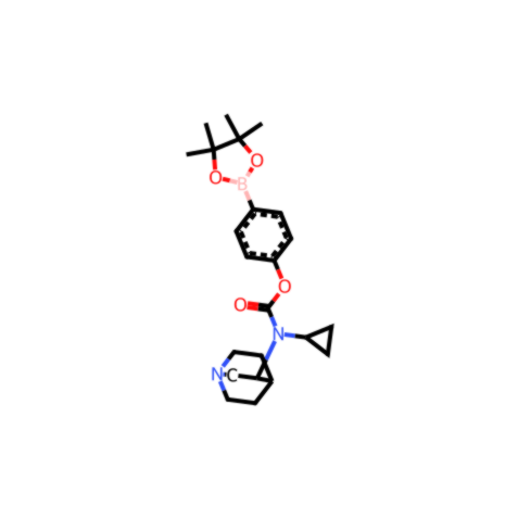 CC1(C)OB(c2ccc(OC(=O)N(C3CC3)C3CN4CCC3CC4)cc2)OC1(C)C